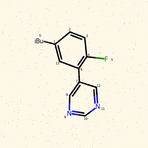 CCC(C)c1ccc(F)c(-c2cncnc2)c1